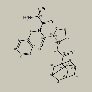 CC(C)[C@H](N)C(=O)N(Cc1ccccc1)C(=O)[C@@H]1CCCN1CC(=O)C12CC3CC(CC(C3)C1)C2